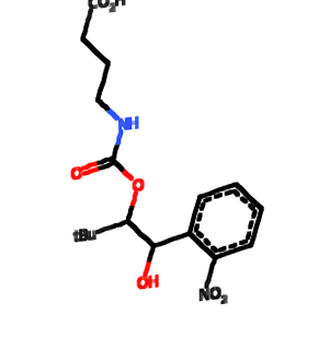 CC(C)(C)C(OC(=O)NCCCC(=O)O)C(O)c1ccccc1[N+](=O)[O-]